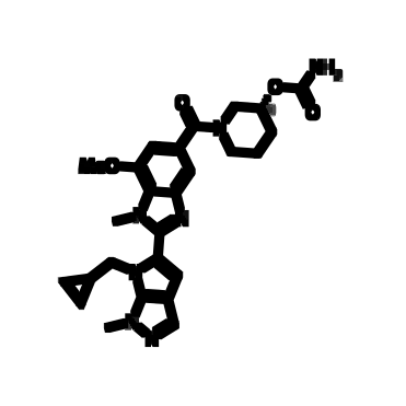 COc1cc(C(=O)N2CCC[C@@H](OC(N)=O)C2)cc2nc(-c3cc4cnn(C)c4n3CC3CC3)n(C)c12